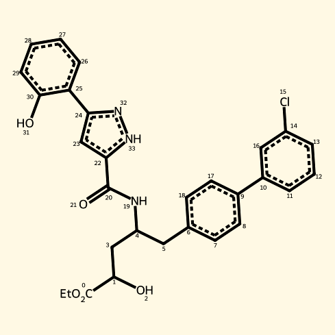 CCOC(=O)C(O)CC(Cc1ccc(-c2cccc(Cl)c2)cc1)NC(=O)c1cc(-c2ccccc2O)n[nH]1